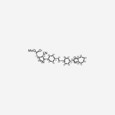 COC(=O)Cn1nnc(-c2ccc(C=Cc3ccc(-c4nc5ccccc5o4)cc3)cc2)c1C#N